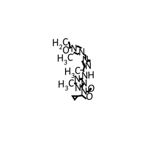 C=CC(=O)N1CCN(Cn2cnc([C@H](C)Nc3nc(C)nc(N4C(=O)OCC4C4CC4)n3)c2)C[C@@H]1C